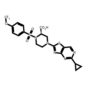 O=C(O)[C@H]1CN(c2nc3nc(C4CC4)ncc3s2)CCN1S(=O)(=O)c1ccc(OC(F)(F)F)cc1